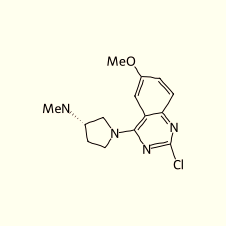 CN[C@H]1CCN(c2nc(Cl)nc3ccc(OC)cc23)C1